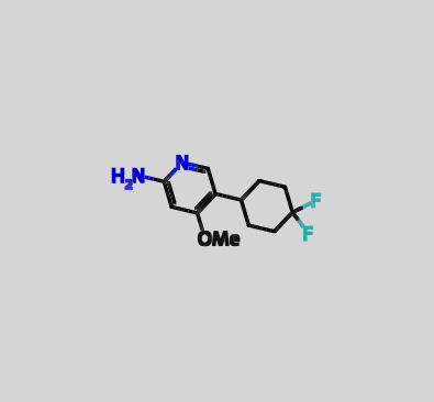 COc1cc(N)ncc1C1CCC(F)(F)CC1